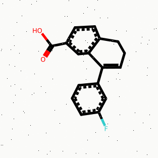 O=C(O)c1ccc2c(c1)C(c1cccc(F)c1)=CCC2